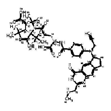 C#CCN(c1ccc(C(=O)N[C@@H](CCC(=O)N(C(C)(C)C)[C@@](C(=O)O)(C(CC(=O)O)C(C)(C)C)C(C)(C)C)C(=O)O)cc1)C1CCc2cc3nc(COC)[nH]c(=O)c3cc21